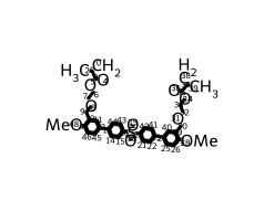 C=C(C)C(=O)OCCOCc1cc(-c2ccc(S(=O)(=O)c3ccc(-c4ccc(OC)c(COCCOC(=O)C(=C)C)c4)cc3)cc2)ccc1OC